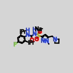 CC(C)c1cc(F)cc(C(C)C)c1NC(=O)NS(=O)(=O)c1cc(CN2CCC2)n(C)n1.[Na]